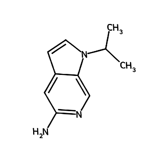 CC(C)n1ccc2cc(N)ncc21